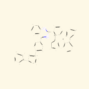 c1ccc2c(c1)-c1ccccc1C21c2ccccc2-c2c(-c3nc(-c4ccc(-c5cccc6c5sc5ccccc56)cc4)c4ccccc4n3)cccc21